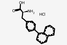 Cl.N[C@@H](Cc1ccc(-c2cccc3ccccc23)cc1)C(=O)O